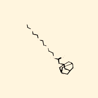 O=C(O)COCCOCCOCCNC(=O)CC12CC3CC(CC(C3)C1)C2